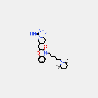 C[C@@H]1CCC[C@H](C)N1CCCCCN1C(=O)C(CC2CCCN(C(=N)N)C2)Oc2ccccc21